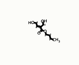 CCCCOC(=O)C(=CCO)CO